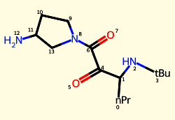 CCCC(NC(C)(C)C)C(=O)C(=O)N1CCC(N)C1